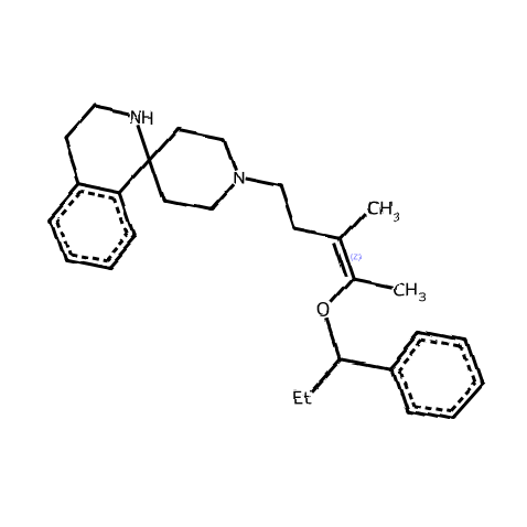 CCC(O/C(C)=C(/C)CCN1CCC2(CC1)NCCc1ccccc12)c1ccccc1